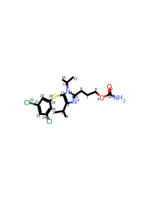 CC(C)c1nc(CCCOC(N)=O)n(C(C)C)c1Sc1cc(Cl)cc(Cl)c1